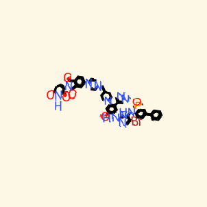 COc1cc(N2CCC(CN3CCN(c4ccc5c(c4)C(=O)N(C4CCC(=O)NC4=O)C5=O)CC3)CC2)c(-c2cnn(C)c2)cc1Nc1ncc(Br)c(Nc2ccc(-c3ccccc3)cc2P(C)(C)=O)n1